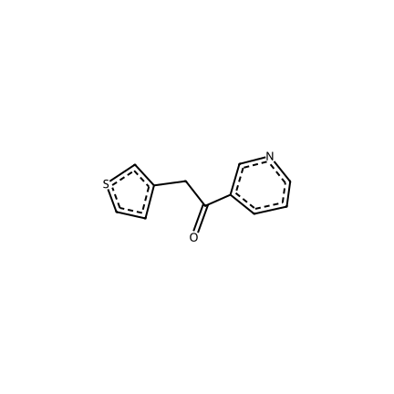 O=C(Cc1ccsc1)c1cccnc1